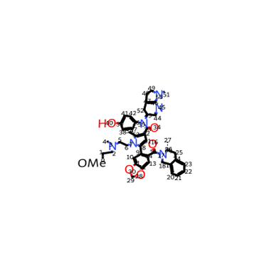 COCCN(C)CCn1c(-c2cc3c(cc2C(=O)N2Cc4ccccc4C[C@H]2C)OCO3)cc(C(=O)N(c2ccc(O)cc2)C2C=NC3=C(CCN3C)C2)c1C